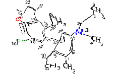 CCCN(C)c1cc(C)c(CC)c(-c2cc(F)c3c(c2C)CCCO3)c1